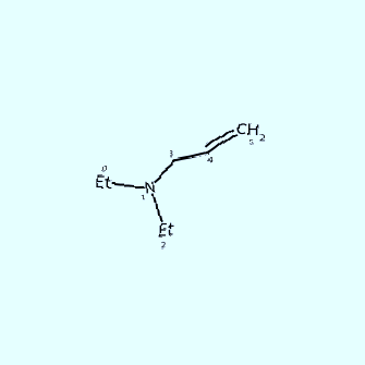 [CH2]CN(C[CH2])CC=C